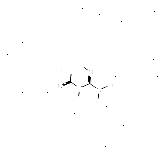 CCN=C(N(CC)CC)N(CC)C(=N)N